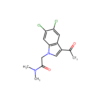 CN(C)C(=O)Cn1cc(C(=O)C(F)(F)F)c2cc(Cl)c(Cl)cc21